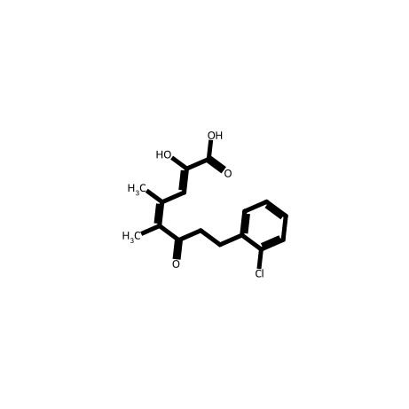 CC(C=C(O)C(=O)O)=C(C)C(=O)CCc1ccccc1Cl